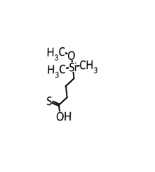 CO[Si](C)(C)CCCC(O)=S